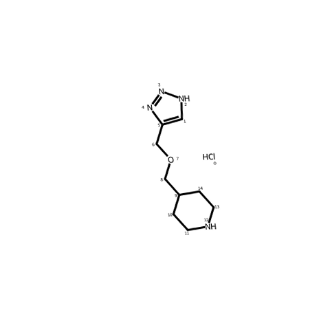 Cl.c1[nH]nnc1COCC1CCNCC1